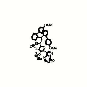 COc1ccc(-c2ccccc2C(OC[C@H]2O[C@@H](c3cnn4c(=O)[nH]cnc34)[C@H](O[Si](C)(C)C(C)(C)C)[C@@H]2O[PH](=O)O)c2ccccc2-c2ccc(OC)cc2)cc1